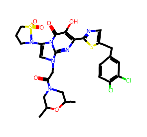 CC1CN(C(=O)Cn2cc(N3CCCS3(=O)=O)n3c(=O)c(O)c(-c4ncc(Cc5ccc(Cl)c(Cl)c5)s4)nc23)CC(C)O1